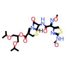 CON=C(C(=O)NC1C(=O)N2C=C(C(=O)OC(COC(C)C)COC(C)C)CS[C@H]12)c1csc(NC=O)n1